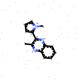 Cc1nc2ccccc2nc1-c1cccn1C